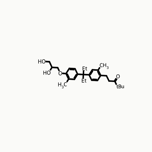 CCC(CC)(c1ccc(CCC(=O)C(C)(C)C)c(C)c1)c1ccc(OCC(O)CO)c(C)c1